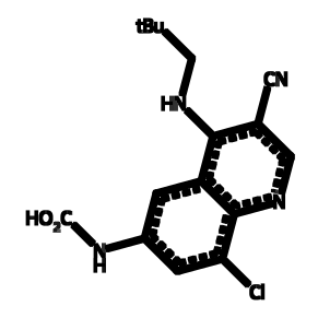 CC(C)(C)CNc1c(C#N)cnc2c(Cl)cc(NC(=O)O)cc12